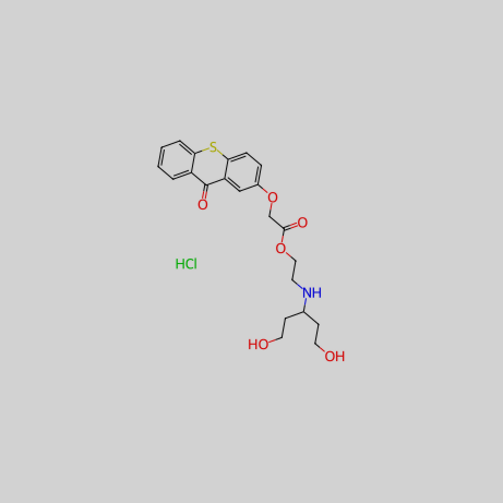 Cl.O=C(COc1ccc2sc3ccccc3c(=O)c2c1)OCCNC(CCO)CCO